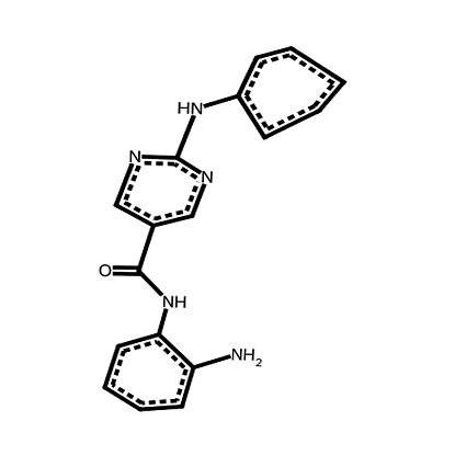 Nc1ccccc1NC(=O)c1cnc(Nc2ccccc2)nc1